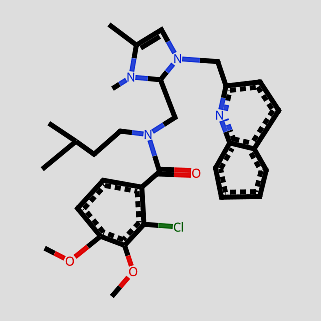 COc1ccc(C(=O)N(CCC(C)C)CC2N(Cc3ccc4ccccc4n3)C=C(C)N2C)c(Cl)c1OC